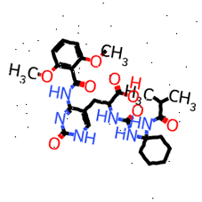 COc1cccc(OC)c1C(=O)Nc1nc(=O)[nH]cc1CC(NC(=O)NC1(NC(=O)C(C)C)CCCCC1)C(=O)O